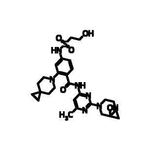 Cc1cc(NC(=O)c2ccc(NS(=O)(=O)CCO)cc2N2CCC3(CC2)CC3)nc(N2CCC3C[C@]3(O)C2)n1